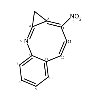 O=[N+]([O-])C1=C2CC2=Nc2ccccc2C=C1